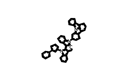 c1ccc(-c2cccc(-n3c4ccccc4c4ccc5c(c6ccccc6n5-c5ccc6c7cccc8c9ccccc9n(c6c5)c87)c43)c2)cc1